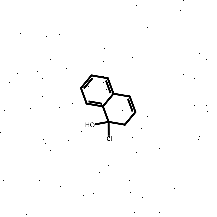 OC1(Cl)CC=Cc2ccccc21